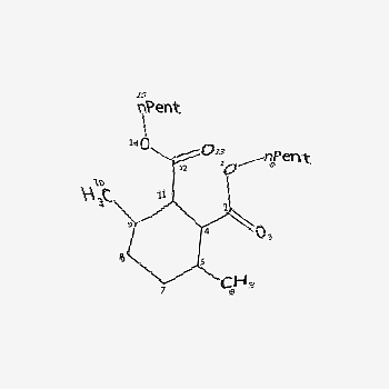 CCCCCOC(=O)C1C(C)CCC(C)C1C(=O)OCCCCC